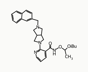 CC(C)COC(C)ONC(=O)c1cccnc1N1CC2CN(Cc3ccc4ccccc4c3)CC2C1